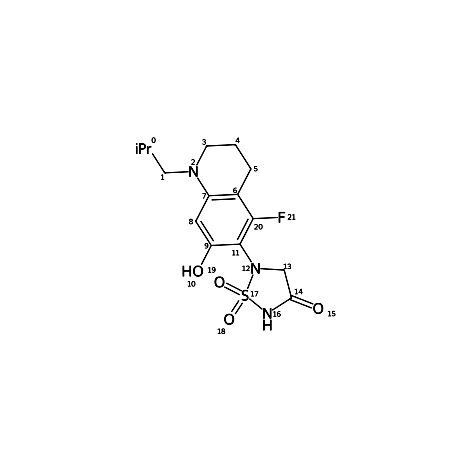 CC(C)CN1CCCc2c1cc(O)c(N1CC(=O)NS1(=O)=O)c2F